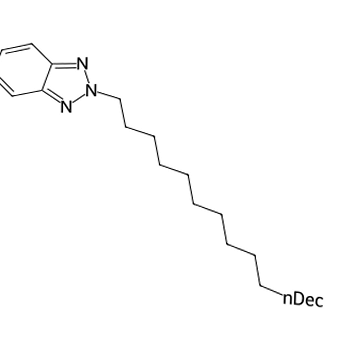 CCCCCCCCCCCCCCCCCCCCn1nc2ccccc2n1